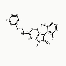 Cn1c(=O)n(-c2c(Cl)cccc2Cl)c2ccc(NCCc3ccccc3)nc21